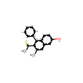 CC(=S)c1c(C)cc2cc(O)ccc2c1-c1ccccc1